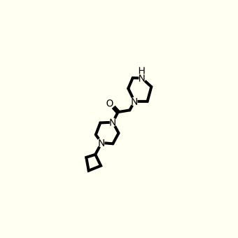 O=C(CN1CCNCC1)N1CCN(C2CCC2)CC1